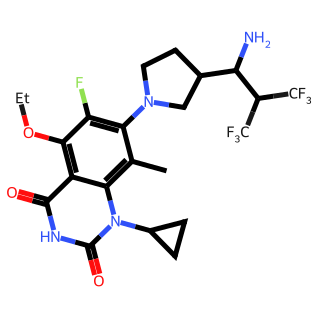 CCOc1c(F)c(N2CCC(C(N)C(C(F)(F)F)C(F)(F)F)C2)c(C)c2c1c(=O)[nH]c(=O)n2C1CC1